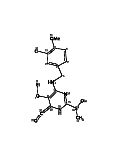 CCOC1=C(NCc2ccc(OC)c(Cl)c2)N=C([S+](C)[O-])NC1=C=O